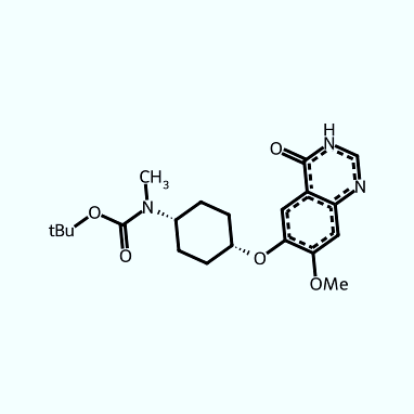 COc1cc2nc[nH]c(=O)c2cc1O[C@H]1CC[C@@H](N(C)C(=O)OC(C)(C)C)CC1